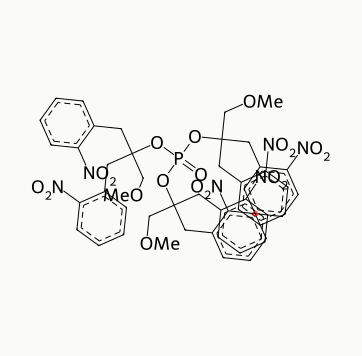 COCC(Cc1ccccc1[N+](=O)[O-])(Cc1ccccc1[N+](=O)[O-])OP(=O)(OC(COC)(Cc1ccccc1[N+](=O)[O-])Cc1ccccc1[N+](=O)[O-])OC(COC)(Cc1ccccc1[N+](=O)[O-])Cc1ccccc1[N+](=O)[O-]